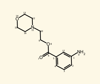 Nc1cccc(C(=O)OCCN2CCOCC2)c1